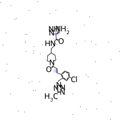 Cc1nnn(Cc2cc(Cl)ccc2/C=C/C(=O)N2CCC(CCNC(=O)/C(=C/N)N=N)CC2)n1